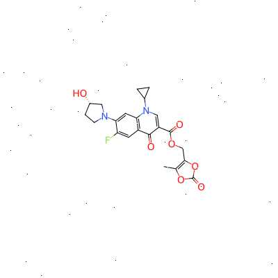 Cc1oc(=O)oc1COC(=O)c1cn(C2CC2)c2cc(N3CC[C@H](O)C3)c(F)cc2c1=O